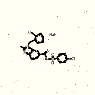 Cc1nc2ccc(C(=O)NS(=O)(=O)c3ccc(Cl)cc3)cc2n1Cc1ccccc1Cl.[NaH]